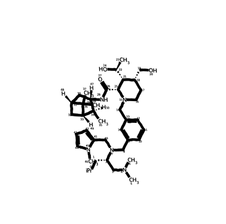 CC(C)C[C@@H](CN(C)C)N(Cc1cccc(CN2CC[C@@H](CO)[C@@H]([C@H](C)O)[C@H]2C(=O)N[C@H]2C[C@H]3C[C@@H]([C@@H]2C)C3(C)C)c1)Cc1cccn1C